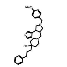 COc1ccc(CN2CC(CN3CCC(O)(CCCc4ccccc4)CC3)C(c3ccsc3)C2)cc1